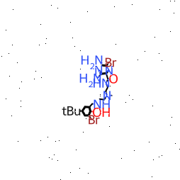 CN(CCNCc1cc(C(C)(C)C)cc(Br)c1O)CCNC(=O)c1nc(Br)c(N)nc1N